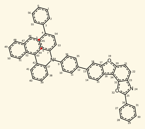 c1ccc(-c2ccc(N(c3ccc(-c4ccc5c(c4)oc4ccc6nc(-c7ccccc7)oc6c45)cc3)c3ccccc3-c3cccc4ccccc34)cc2)cc1